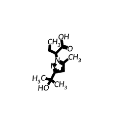 CCC(C(=O)O)n1nc(C(C)(C)O)cc1C